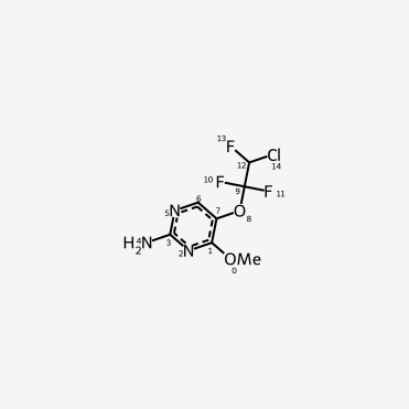 COc1nc(N)ncc1OC(F)(F)C(F)Cl